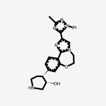 Cc1nc(-c2cn3c(n2)-c2ccc([C@H]4CCNC[C@H]4O)cc2OCC3)n(C(C)C)n1